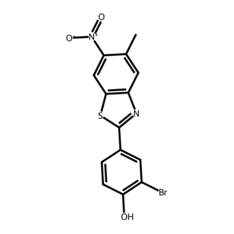 Cc1cc2nc(-c3ccc(O)c(Br)c3)sc2cc1[N+](=O)[O-]